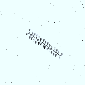 F[C](F)C(F)(F)C(F)(F)C(F)(F)C(F)(F)C(F)(F)C(F)(F)C(F)(F)C(F)(F)C(F)(F)C(F)(F)C(F)(F)C(F)(F)C(F)(F)C(F)F